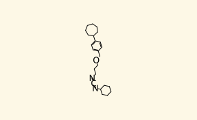 C(=NCCCOCc1ccc(C2CCCCCC2)cc1)=NC1CCCCC1